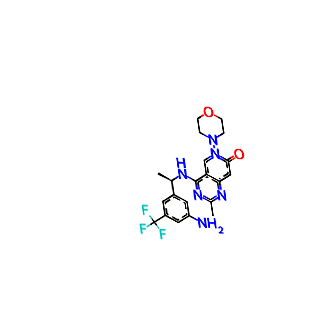 Cc1nc(N[C@H](C)c2cc(N)cc(C(F)(F)F)c2)c2cn(N3CCOCC3)c(=O)cc2n1